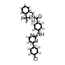 O=C(NCc1ccccc1C(F)(F)F)c1ccc(Nc2nccc(-c3ccc(Cl)cc3)n2)cc1